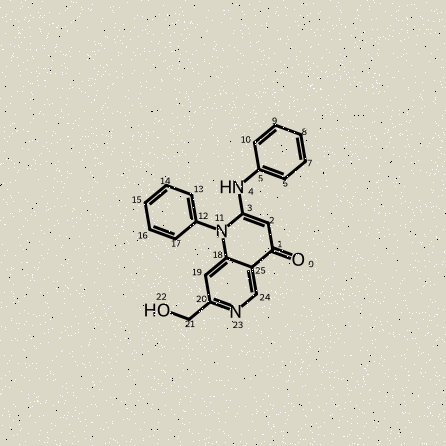 O=c1cc(Nc2ccccc2)n(-c2ccccc2)c2cc(CO)ncc12